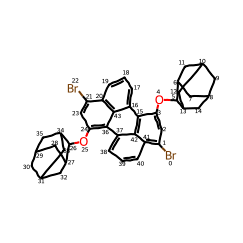 Brc1cc(OC2C3CC4CC(C3)CC2C4)c2c3cccc4c(Br)cc(OC5C6CC7CC(C6)CC5C7)c(c5cccc1c52)c43